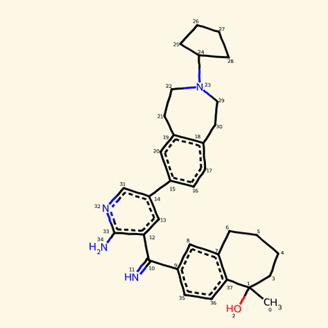 CC1(O)CCCCc2cc(C(=N)c3cc(-c4ccc5c(c4)CCN(C4CCCC4)CC5)cnc3N)ccc21